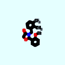 CCOc1ccccc1C1OCC(=O)N1Cc1cccc(C(F)(F)F)c1C